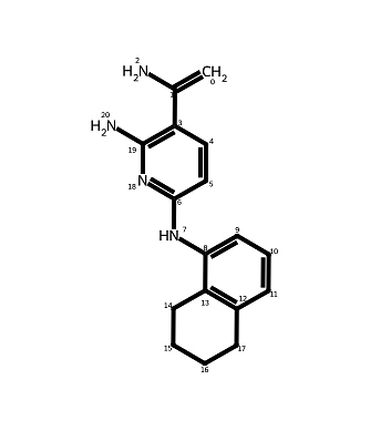 C=C(N)c1ccc(Nc2cccc3c2CCCC3)nc1N